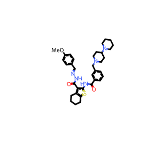 COc1ccc(C=NNC(=O)c2c(NC(=O)c3cccc(CN4CCC(N5CCCCC5)CC4)c3)sc3c2CCCC3)cc1